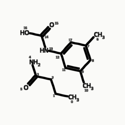 CCCC(N)=O.Cc1cc(C)cc(NC(=O)O)c1